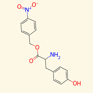 NC(Cc1ccc(O)cc1)C(=O)OCc1ccc([N+](=O)[O-])cc1